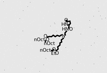 CCCCCCCCC(CC)OC(=O)CCCCCCCN(CCCCCCCC(=O)OC(CCCCCCCC)CCCCCCCC)CCCNC(=O)C1CCC(=O)N1